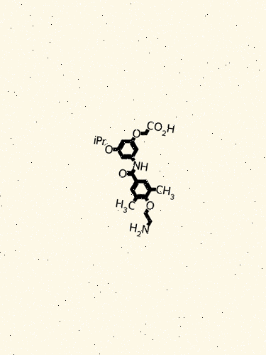 Cc1cc(C(=O)Nc2cc(OCC(=O)O)cc(OC(C)C)c2)cc(C)c1OCCN